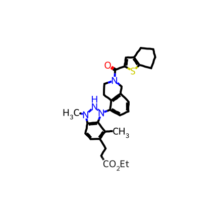 CCOC(=O)CCc1ccc2c(c1C)N(c1cccc3c1CCN(C(=O)c1cc4c(s1)CCCC4)C3)NN2C